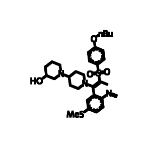 C=Nc1ccc(SC)cc1/C(=C(\C)S(=O)(=O)c1ccc(OCCCC)cc1)N1CCC(N2CCCC(O)C2)CC1